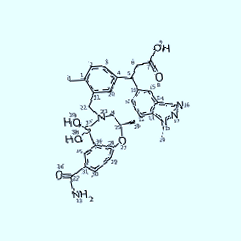 Cc1ccc(C(CC(=O)O)c2ccc3c(c2)nnn3C)cc1CN1C[C@@H](C)Oc2ccc(C(N)=O)cc2S1(O)O